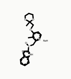 Cc1c(OCC2(C)OCCCO2)ccnc1C[S+]([O-])c1nc2ccccc2[nH]1.[NaH]